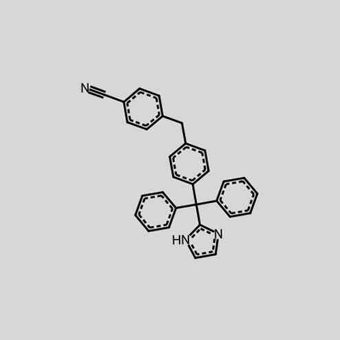 N#Cc1ccc(Cc2ccc(C(c3ccccc3)(c3ccccc3)c3ncc[nH]3)cc2)cc1